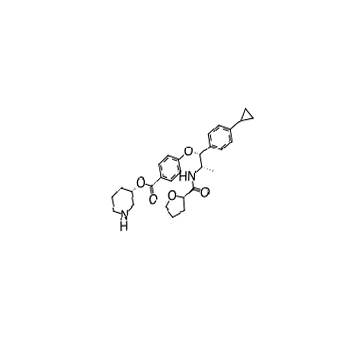 C[C@H](NC(=O)[C@H]1CCCO1)[C@H](Oc1ccc(C(=O)O[C@H]2CCCNC2)cc1)c1ccc(C2CC2)cc1